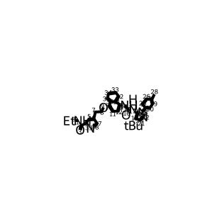 CCNC(=O)c1cc(CCOc2ccc(NC(=O)Nc3cc(C(C)(C)C)nn3-c3ccc(C)cc3)c3ccccc23)ccn1